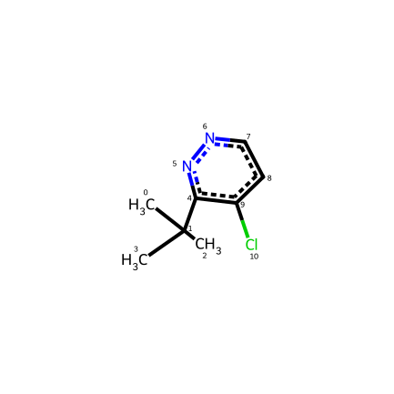 CC(C)(C)c1nnccc1Cl